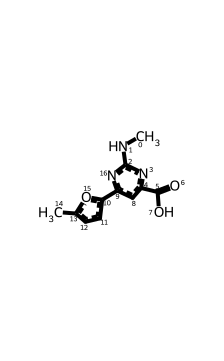 CNc1nc(C(=O)O)cc(-c2ccc(C)o2)n1